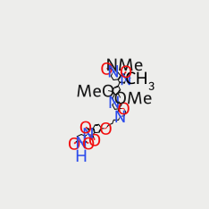 CNC(=O)N1CCc2c(-c3cc(OC)c(CN4CCC5(CC4)CN(CCCCOc4ccc6c(c4)C(=O)N(C4CCC(=O)NC4=O)C6=O)CCO5)c(OC)c3)cn(C)c(=O)c2C1